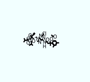 C#CC(COC(=O)C(C)C)(OC)[C@H](Cn1cnc2c(NC(=O)CC(C)(C)c3c(C)cc(C)cc3OC(C)=O)nc(Cl)nc21)OC(=O)C(C)C